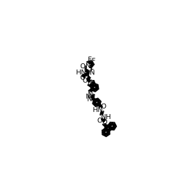 N#C[C@@H]1CC(F)(F)CN1C(=O)[C@@H]1C[C@@H](CC(=O)N2Cc3cccc(Cn4cc(-c5ccc(C(=O)NCCNC(=O)OCC6c7ccccc7-c7ccccc76)cc5)nn4)c3C2)C(=O)N1